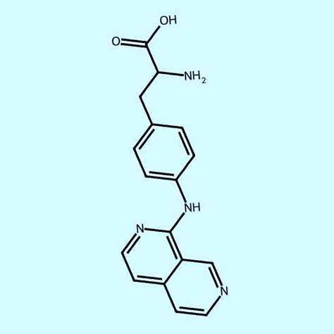 NC(Cc1ccc(Nc2nccc3ccncc23)cc1)C(=O)O